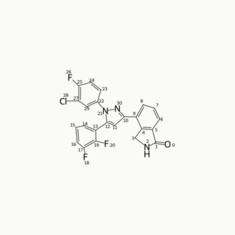 O=C1NCc2c1cccc2-c1cc(-c2cccc(F)c2F)n(-c2ccc(F)c(Cl)c2)n1